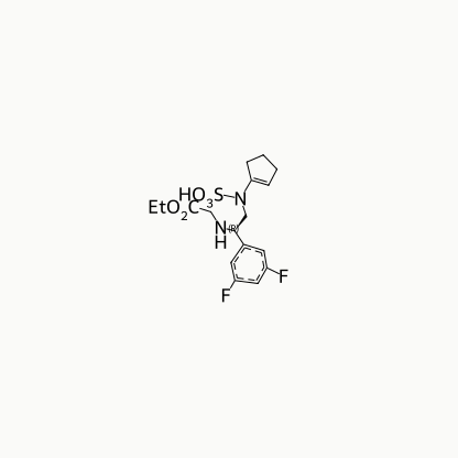 CCOC(=O)CN[C@@H](CN(C1=CCCC1)S(=O)(=O)O)c1cc(F)cc(F)c1